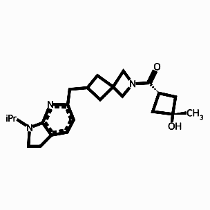 CC(C)N1CCc2ccc(CC3CC4(C3)CN(C(=O)[C@H]3C[C@@](C)(O)C3)C4)nc21